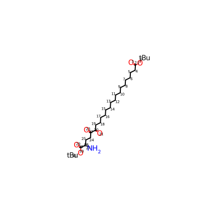 CC(C)(C)OC(=O)CCCCCCCCCCCCCCCCC(=O)C(=O)CC[C@H](N)C(=O)OC(C)(C)C